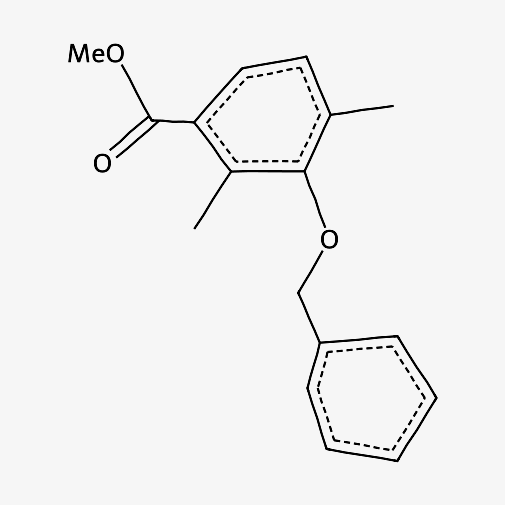 COC(=O)c1ccc(C)c(OCc2ccccc2)c1C